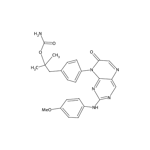 COc1ccc(Nc2ncc3ncc(=O)n(-c4ccc(CC(C)(C)OC(N)=O)cc4)c3n2)cc1